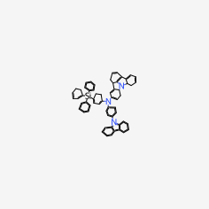 C1=CCCC([Si](C2=CC=C(N(C3=CCC4C(=C3)C3CC=CC5=C3N4C3CC=CC=C53)c3ccc(-n4c5ccccc5c5ccccc54)cc3)CC2)(c2ccccc2)c2ccccc2)=C1